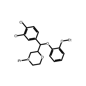 CCOc1ccccc1OC(c1ccc(Cl)c(Cl)c1)C1CN(C(C)C)CCO1